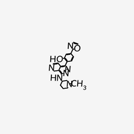 CN1CCC[C@H](Nc2nnc(-c3ccc(-c4ncco4)cc3O)c3ccncc23)C1